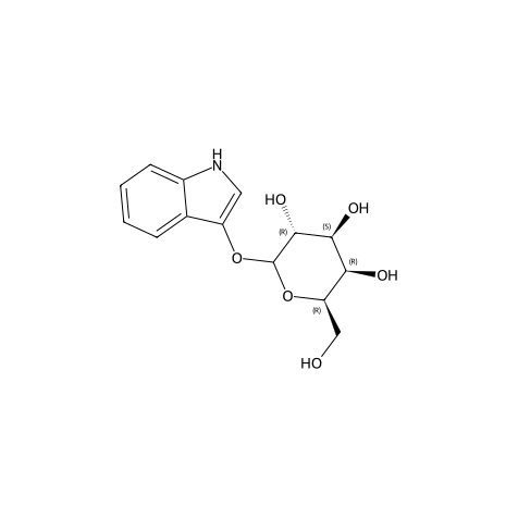 OC[C@H]1OC(Oc2c[nH]c3ccccc23)[C@H](O)[C@@H](O)[C@H]1O